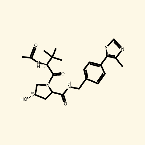 CC(=O)N[C@H](C(=O)N1C[C@@H](O)CC1C(=O)NCc1ccc(-c2scnc2C)cc1)C(C)(C)C